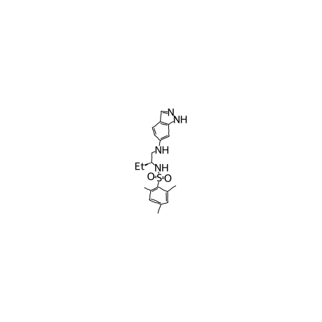 CC[C@@H](CNc1ccc2cn[nH]c2c1)NS(=O)(=O)c1c(C)cc(C)cc1C